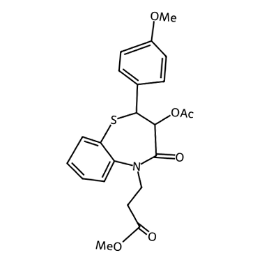 COC(=O)CCN1C(=O)C(OC(C)=O)C(c2ccc(OC)cc2)Sc2ccccc21